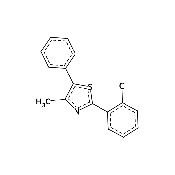 Cc1nc(-c2ccccc2Cl)sc1-c1ccccc1